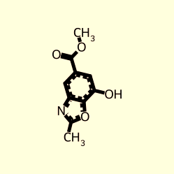 COC(=O)c1cc(O)c2oc(C)nc2c1